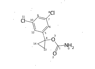 NC(=O)OC1(c2cc(Cl)cc(Cl)c2)CC1